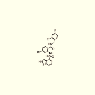 O=C(NCc1ccc(F)cc1Cl)c1ccc(Br)cc1NS(=O)(=O)C1=CC=CN2SNC=C12